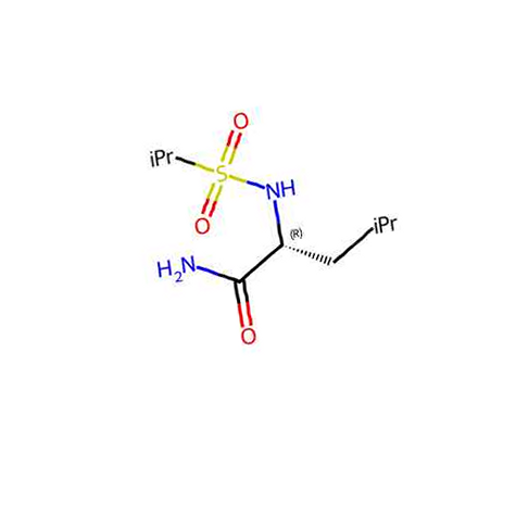 CC(C)C[C@@H](NS(=O)(=O)C(C)C)C(N)=O